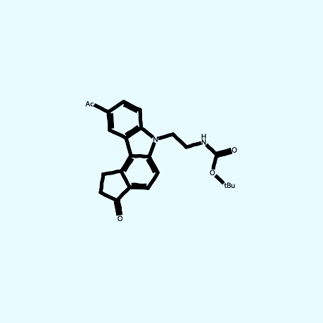 CC(=O)c1ccc2c(c1)c1c3c(ccc1n2CCNC(=O)OC(C)(C)C)C(=O)CC3